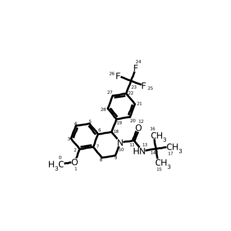 COc1cccc2c1CCN(C(=O)NC(C)(C)C)C2c1ccc(C(F)(F)F)cc1